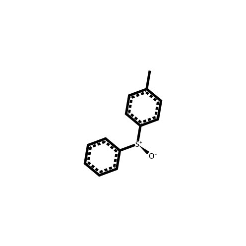 Cc1ccc([S@@+]([O-])c2ccccc2)cc1